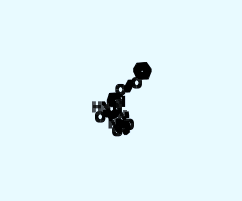 Cn1c(S(C)(=O)=O)nc2c(=O)[nH]c3cc(OCCOc4ccccc4)nn3c21